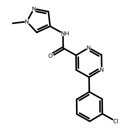 Cn1cc(NC(=O)c2cc(-c3cccc(Cl)c3)ncn2)cn1